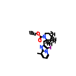 [2H]C1([2H])CCN(C(=O)OC(C)(C)C)[C@]([2H])(Cc2nc3c(C)cccn3c2I)C1([2H])[2H]